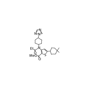 CCC(=O)N(c1cc(C2CCC(C)(C)CC2)sc1C(=O)OC)C1CCC(n2cncn2)CC1